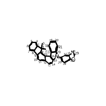 CC1(C)c2ccccc2-c2ccc3ccc4c(c5ccccc5n4-c4ccc5ocnc5c4)c3c21